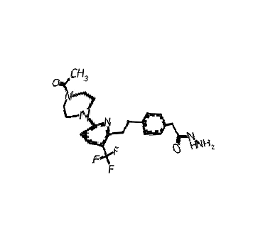 CC(=O)N1CCN(c2ccc(C(F)(F)F)c(CCc3ccc(CC(=O)NN)cc3)n2)CC1